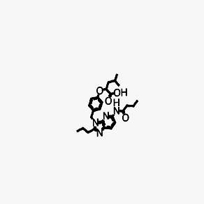 CCCC(=O)Nc1ccc2nc(CCC)n(Cc3ccc(OC(CC(C)C)C(=O)O)cc3)c2n1